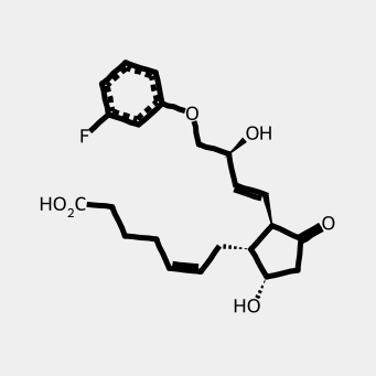 O=C(O)CCC/C=C\C[C@H]1[C@@H](O)CC(=O)[C@@H]1/C=C/[C@H](O)COc1cccc(F)c1